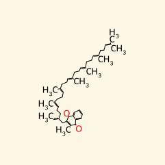 C/C=C(\CC/C=C(\C)CC/C=C(\C)CC/C=C(\C)CC/C=C(\C)CC/C=C(\C)CCC=C(C)C)CC1=C(C)C(=O)c2ccccc2C1=O